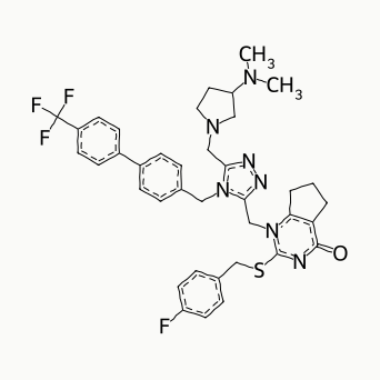 CN(C)C1CCN(Cc2nnc(Cn3c(SCc4ccc(F)cc4)nc(=O)c4c3CCC4)n2Cc2ccc(-c3ccc(C(F)(F)F)cc3)cc2)C1